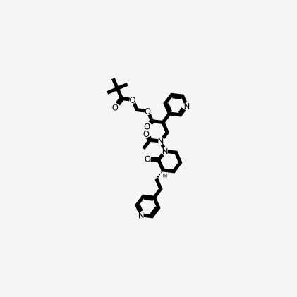 CC(=O)N(CC(C(=O)OCOC(=O)C(C)(C)C)c1cccnc1)N1CCC[C@H](CCc2ccncc2)C1=O